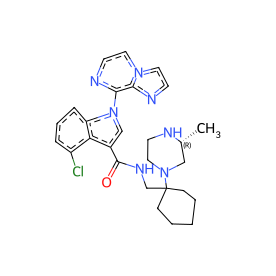 C[C@@H]1CN(C2(CNC(=O)c3cn(-c4nccn5ccnc45)c4cccc(Cl)c34)CCCCC2)CCN1